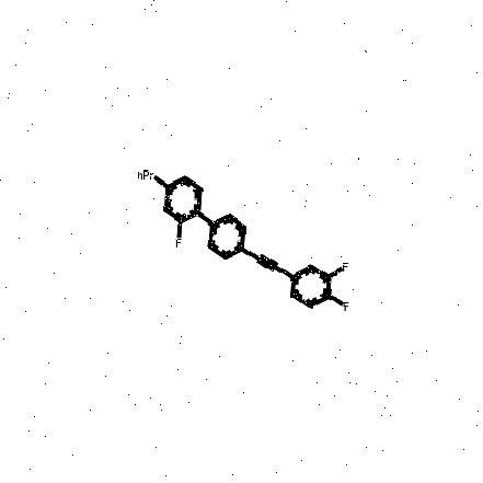 CCCc1ccc(-c2ccc(C#Cc3ccc(F)c(F)c3)cc2)c(F)c1